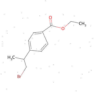 CCOC(=O)c1ccc(C(C)CBr)cc1